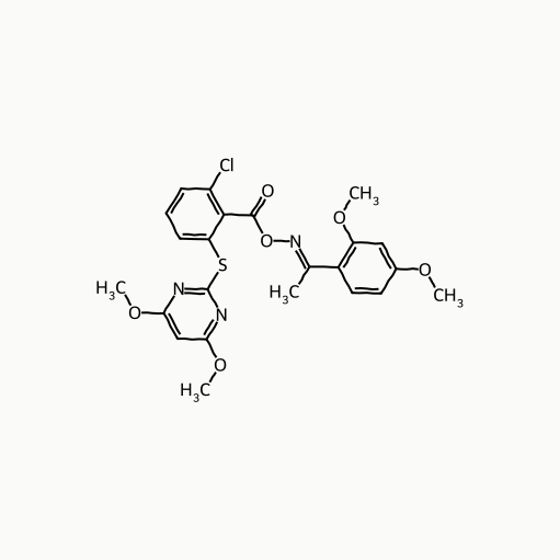 COc1ccc(/C(C)=N/OC(=O)c2c(Cl)cccc2Sc2nc(OC)cc(OC)n2)c(OC)c1